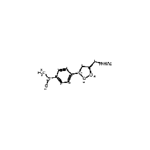 CC(=O)NCC1CN(c2ccc([S+](C)[O-])cc2)OO1